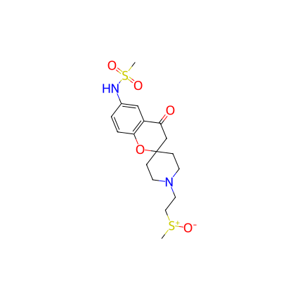 C[S+]([O-])CCN1CCC2(CC1)CC(=O)c1cc(NS(C)(=O)=O)ccc1O2